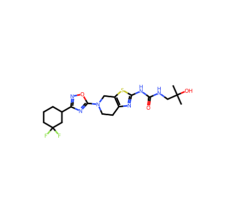 CC(C)(O)CNC(=O)Nc1nc2c(s1)CN(c1nc(C3CCCC(F)(F)C3)no1)CC2